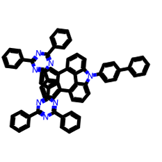 c1ccc(-c2ccc(-n3c4cccc(-c5cccc(-c6nc(-c7ccccc7)nc(-c7ccccc7)n6)c5)c4c4c(-c5cccc(-c6nc(-c7ccccc7)nc(-c7ccccc7)n6)c5)cccc43)cc2)cc1